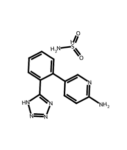 N[SH](=O)=O.Nc1ccc(-c2ccccc2-c2nnn[nH]2)cn1